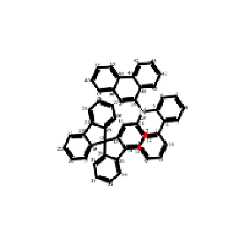 c1ccc(-c2ccccc2N(c2ccc3c(c2)C2(c4ccccc4-c4ccccc42)c2ccccc2-3)c2cc3ccccc3c3ccccc23)cc1